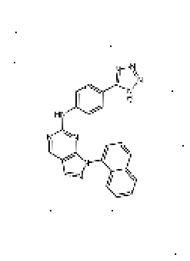 c1ccc2c(-n3ncc4cnc(Nc5ccc(-c6nnn[nH]6)cc5)nc43)cccc2c1